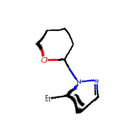 CCc1ccnn1C1CCCCO1